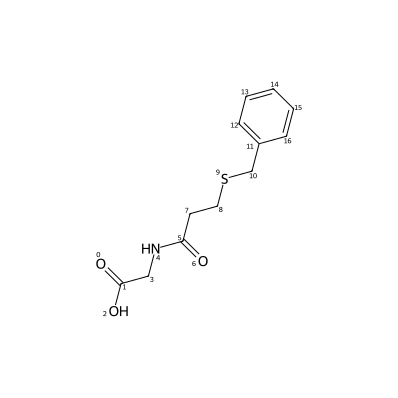 O=C(O)CNC(=O)CCSCc1ccccc1